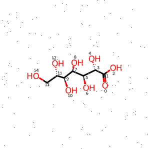 O=C(O)[C@@H](O)[C@@H](O)[C@H](O)[C@@H](O)[C@@H](O)CO